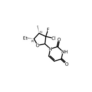 CC[C@H]1OC(n2ccc(=O)[nH]c2=O)C(F)(Cl)[C@H]1C